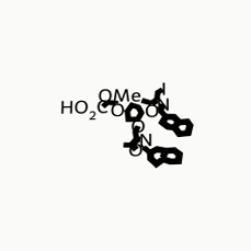 COC(CO[C@@H]1CCC[C@H](OCc2nc(-c3ccc4ccccc4c3)oc2C)C1)C(=O)O.Cc1oc(-c2ccc3ccccc3c2)nc1CI